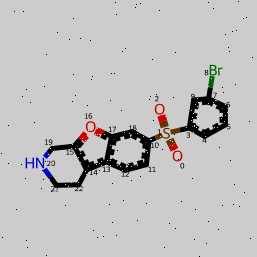 O=S(=O)(c1cccc(Br)c1)c1ccc2c3c(oc2c1)CNCC3